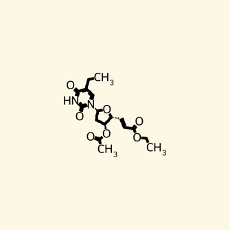 CCOC(=O)C=C[C@H]1O[C@@H](n2cc(CC)c(=O)[nH]c2=O)C[C@@H]1OC(C)=O